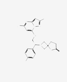 O=C1CCC2(CN([C@H](CNc3cc(C(F)(F)F)nc4cc(C(F)(F)F)nn34)c3ccc(F)cc3)C2)N1